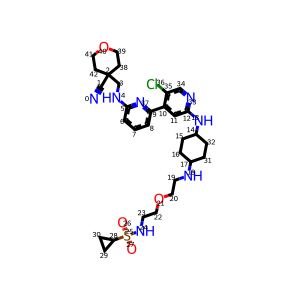 N#CC1(CNc2cccc(-c3cc(NC4CCC(NCCOCCNS(=O)(=O)C5CC5)CC4)ncc3Cl)n2)CCOCC1